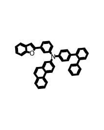 c1ccc(-c2ccccc2-c2ccc(N(c3cccc(-c4cc5ccccc5o4)c3)c3ccc4c(ccc5ccccc54)c3)cc2)cc1